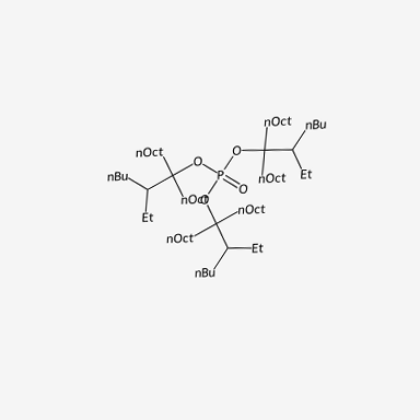 CCCCCCCCC(CCCCCCCC)(OP(=O)(OC(CCCCCCCC)(CCCCCCCC)C(CC)CCCC)OC(CCCCCCCC)(CCCCCCCC)C(CC)CCCC)C(CC)CCCC